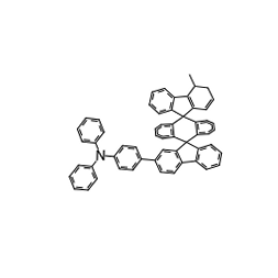 CC1CC=CC2=C1c1ccccc1C21c2ccccc2C2(c3ccccc3-c3ccc(-c4ccc(N(c5ccccc5)c5ccccc5)cc4)cc32)c2ccccc21